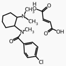 CN(C)C1CCCCC1N(C)C(=O)c1ccc(Cl)cc1.O=C(O)C=CC(=O)O